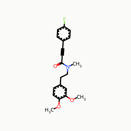 COc1ccc(CCN(C)C(=O)C#Cc2ccc(F)cc2)cc1OC